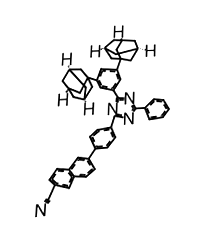 N#Cc1ccc2cc(-c3ccc(-c4nc(-c5ccccc5)nc(-c5cc(C67C[C@H]8C[C@@H](C6)C[C@@H](C7)C8)cc(C67C[C@H]8C[C@@H](C6)C[C@@H](C7)C8)c5)n4)cc3)ccc2c1